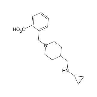 O=C(O)c1ccccc1CN1CCC(CNC2CC2)CC1